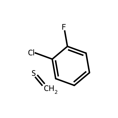 C=S.Fc1ccccc1Cl